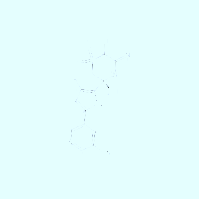 CC1C(=N)N[C@](C)(c2sc(-c3cncc(C#N)c3)cc2Cl)CS1(=O)=O